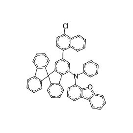 Clc1ccc(-c2cc(N(c3ccccc3)c3cccc4c3oc3ccccc34)c3c(c2)C2(c4ccccc4-c4ccccc42)c2ccccc2-3)c2ccccc12